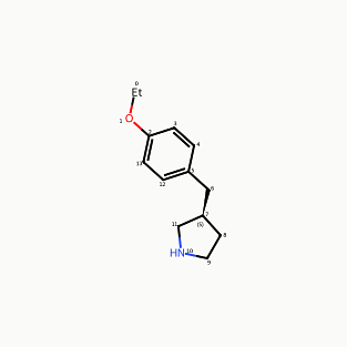 CCOc1ccc(C[C@H]2CCNC2)cc1